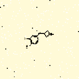 Fc1cc(C=C2CNC2)ccc1Br